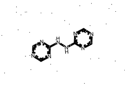 c1ncnc(NNc2ncncn2)n1